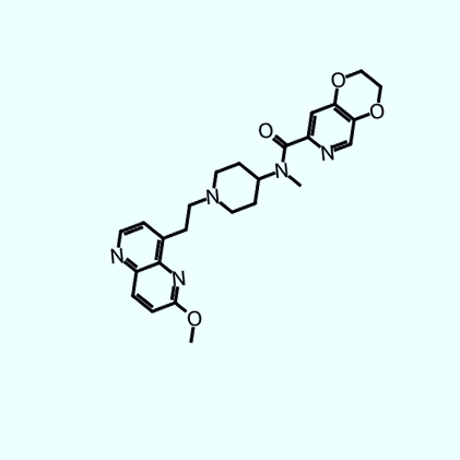 COc1ccc2nccc(CCN3CCC(N(C)C(=O)c4cc5c(cn4)OCCO5)CC3)c2n1